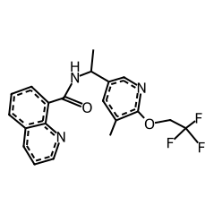 Cc1cc(C(C)NC(=O)c2cccc3cccnc23)cnc1OCC(F)(F)F